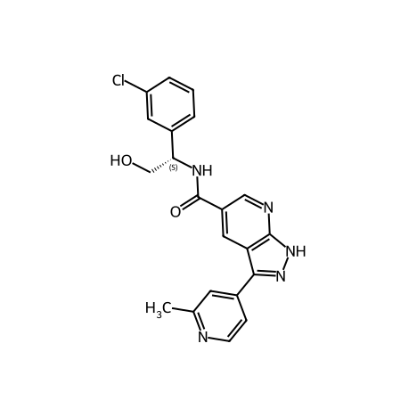 Cc1cc(-c2n[nH]c3ncc(C(=O)N[C@H](CO)c4cccc(Cl)c4)cc23)ccn1